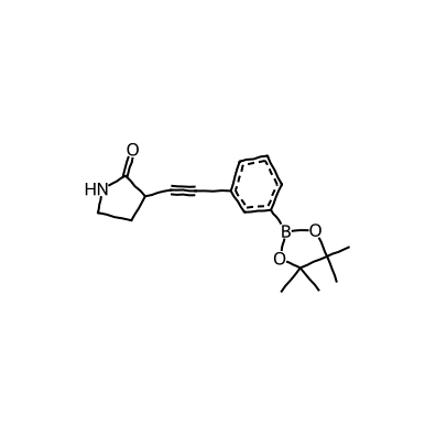 CC1(C)OB(c2cccc(C#CC3CCNC3=O)c2)OC1(C)C